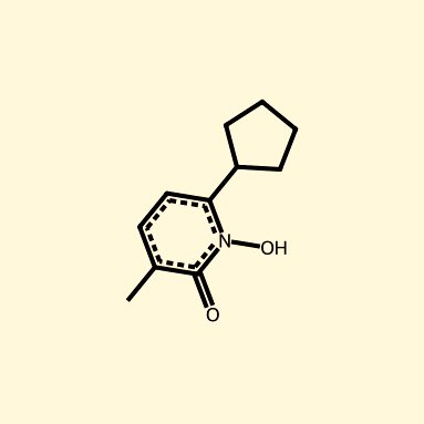 Cc1ccc(C2CCCC2)n(O)c1=O